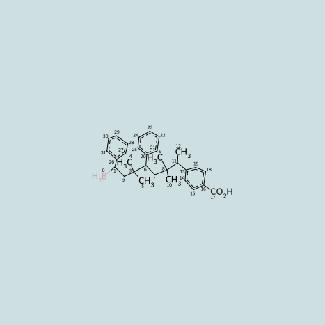 BC(CC(C)(C)C(CC(C)(C)C(C)c1ccc(C(=O)O)cc1)c1ccccc1)c1ccccc1